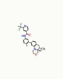 Cc1ccc(NC(=O)c2ccnc(C(C)(F)F)c2)cc1-c1ccc2c(c1)N1CCOC[C@H]1[C@H](C#N)C2